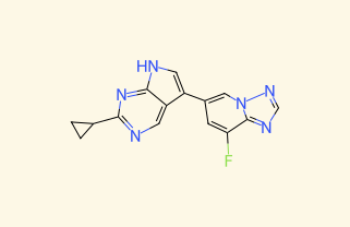 Fc1cc(-c2c[nH]c3nc(C4CC4)ncc23)cn2ncnc12